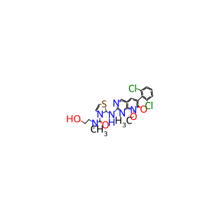 COn1c(=O)c(-c2c(Cl)cccc2Cl)cc2cnc(NC3SC=CN3C(=O)N(C)CCO)nc21